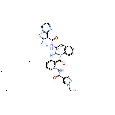 C[C@H](NC(=O)c1c(N)nn2cccnc12)c1nc2cccc(NC(=O)c3cnn(C)c3)c2c(=O)n1-c1ccccc1